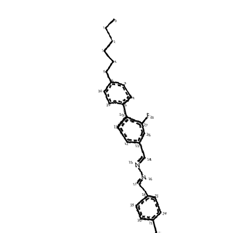 CCCCCCc1ccc(-c2ccc(C=NN=Cc3ccc(CC)cc3)cc2F)cc1